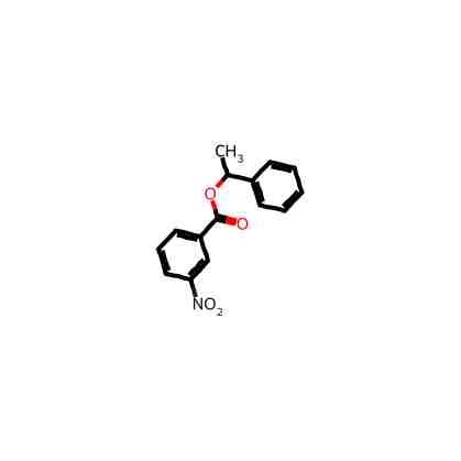 CC(OC(=O)c1cccc([N+](=O)[O-])c1)c1ccccc1